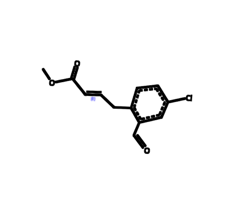 COC(=O)/C=C/Cc1ccc(Cl)cc1C=O